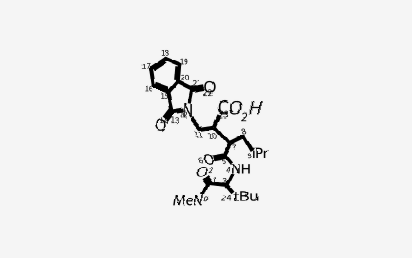 CNC(=O)C(NC(=O)C(CC(C)C)C(CN1C(=O)c2ccccc2C1=O)C(=O)O)C(C)(C)C